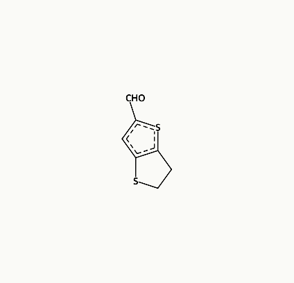 O=Cc1cc2c(s1)CCS2